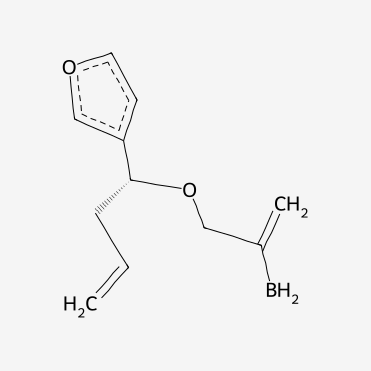 BC(=C)CO[C@H](CC=C)c1ccoc1